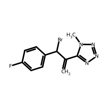 C=C(c1nnnn1C)C(Br)c1ccc(F)cc1